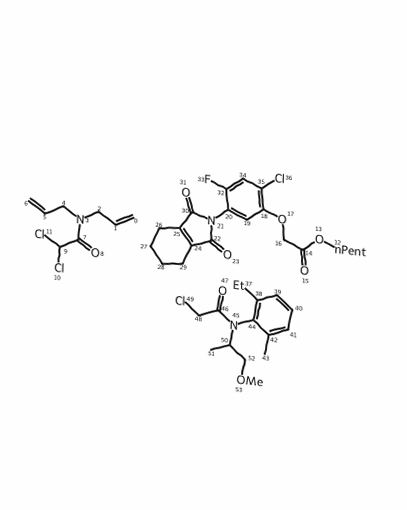 C=CCN(CC=C)C(=O)C(Cl)Cl.CCCCCOC(=O)COc1cc(N2C(=O)C3=C(CCCC3)C2=O)c(F)cc1Cl.CCc1cccc(C)c1N(C(=O)CCl)C(C)COC